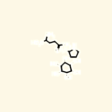 NC(=O)CCC(N)C(=O)O.O=C(O)C1CCCN1.O[C@H]1[C@H](O)[C@@H](O)[C@H](O)[C@@H](O)[C@H]1O